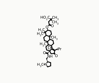 CC(C)C1=C2C3CCC4[C@@]5(C)CC[C@H](OC(=O)CC(C)(C)C(=O)O)C(C)(C)C5CC[C@@]4(C)[C@]3(C)CC[C@@]2(C(=O)NC[C@H]2CCCN2C)CC1=O